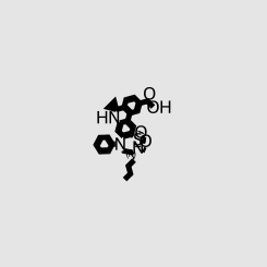 CCCC[C@@H]1CN(c2ccccc2)c2cc3c(cc2S(=O)(=O)N1C)-c1cc(C(=O)O)ccc1C1(CC1)N3